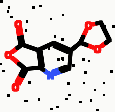 O=C1OC(=O)c2ncc(C3OCCO3)cc21